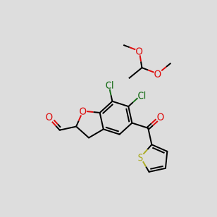 COC(C)OC.O=CC1Cc2cc(C(=O)c3cccs3)c(Cl)c(Cl)c2O1